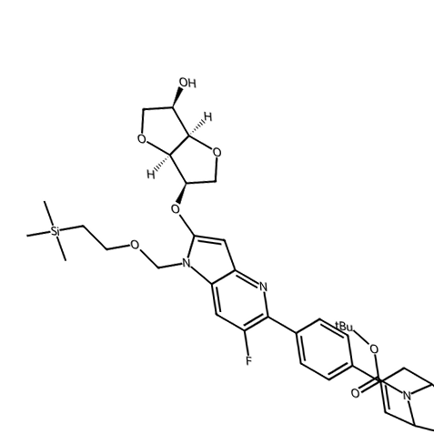 CC(C)(C)OC(=O)N1C2C=C(c3ccc(-c4nc5cc(O[C@@H]6CO[C@H]7[C@@H]6OC[C@H]7O)n(COCC[Si](C)(C)C)c5cc4F)cc3)CC1CC2